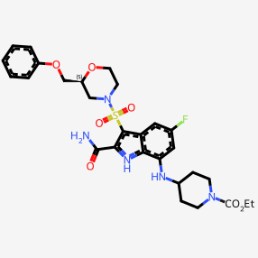 CCOC(=O)N1CCC(Nc2cc(F)cc3c(S(=O)(=O)N4CCO[C@H](COc5ccccc5)C4)c(C(N)=O)[nH]c23)CC1